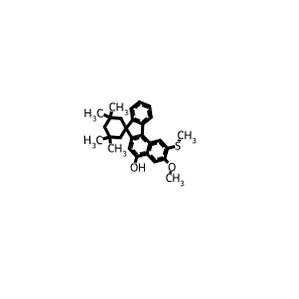 COc1cc2c(O)cc3c(c2cc1SC)-c1ccccc1C31CC(C)(C)CC(C)(C)C1